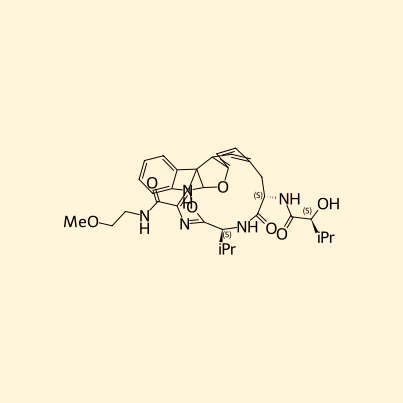 COCCNC(=O)c1nc2oc1C13c4ccccc4NC1Oc1ccc(cc13)C[C@H](NC(=O)[C@@H](O)C(C)C)C(=O)N[C@H]2C(C)C